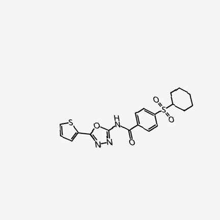 O=C(Nc1nnc(-c2cccs2)o1)c1ccc(S(=O)(=O)C2CCCCC2)cc1